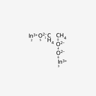 C.C.[In+3].[In+3].[O-2].[O-2].[O-2]